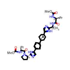 COC(=O)N[C@H](C(=O)N[C@@H](C)c1ncc(C23CCC(c4ccc(-c5cnc([C@@H]6CCCN6C(=O)[C@@H](NC(=O)OC)C(C)C)[nH]5)cc4)(CC2)CC3)[nH]1)C(C)C